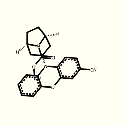 CC(C)(C)OC(=O)N1[C@@H]2CC[C@H]1C[C@H](N1c3ccccc3Oc3cc(C#N)ccc31)C2